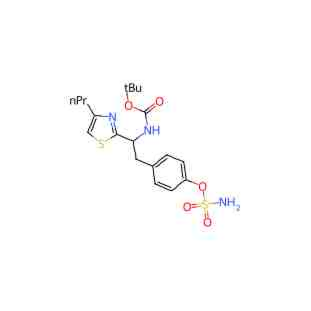 CCCc1csc(C(Cc2ccc(OS(N)(=O)=O)cc2)NC(=O)OC(C)(C)C)n1